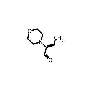 C/C=C(/C=O)N1CCOCC1